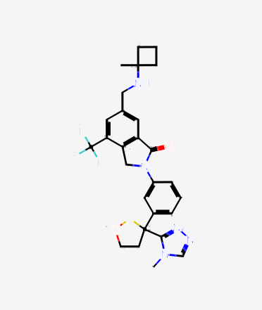 Cn1cnnc1C1(c2cccc(N3Cc4c(cc(CNC5(C)CCC5)cc4C(F)(F)F)C3=O)c2)CCOS1